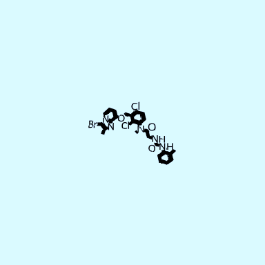 Cc1ccccc1NC(=O)NCC(=O)N(C)c1ccc(Cl)c(COc2cccn3c(Br)c(C)nc23)c1Cl